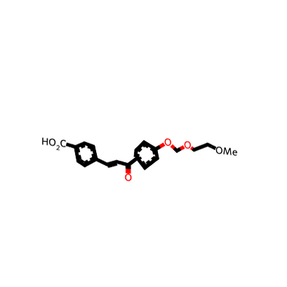 COCCOCOc1ccc(C(=O)/C=C/c2ccc(C(=O)O)cc2)cc1